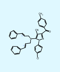 Cc1ccc(C(=O)c2nn(-c3ccc(Cl)cc3)c(N(C/C=C/c3ccccc3)C/C=C/c3ccccc3)c2C#N)cc1